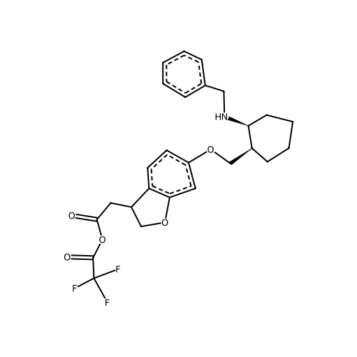 O=C(CC1COc2cc(OC[C@@H]3CCCC[C@@H]3NCc3ccccc3)ccc21)OC(=O)C(F)(F)F